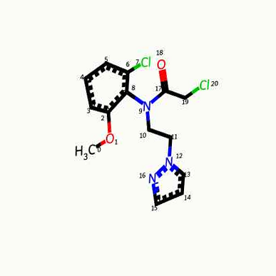 COc1cccc(Cl)c1N(CCn1cccn1)C(=O)CCl